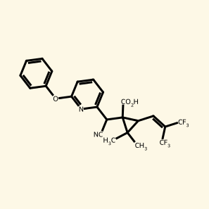 CC1(C)C(C=C(C(F)(F)F)C(F)(F)F)C1(C(=O)O)C(C#N)c1cccc(Oc2ccccc2)n1